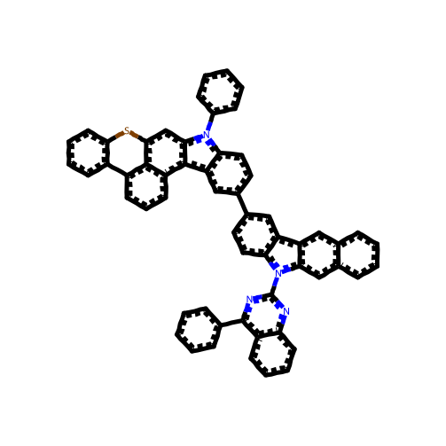 c1ccc(-c2nc(-n3c4ccc(-c5ccc6c(c5)c5c7cccc8c7c(cc5n6-c5ccccc5)Sc5ccccc5-8)cc4c4cc5ccccc5cc43)nc3ccccc23)cc1